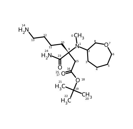 CN(C1CCCCOC1)[C@](CCCCN)(CC(=O)OC(C)(C)C)C(N)=O